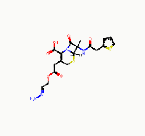 CC1(NC(=O)Cc2cccs2)C(=O)N2C(C(=O)O)=C(CC(=O)OCC=NN)CS[C@H]21